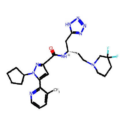 O=C(N[C@@H](CCN1CCCC(F)(F)C1)Cc1nnn[nH]1)c1cc(-c2ncccc2C(F)(F)F)n(C2CCCC2)n1